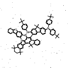 CC(C)(C)c1ccc(N2B3c4cc5oc6ccccc6c5cc4-n4c5cc6c(cc5c5c7c(c(c3c54)-c3cc4c(cc32)C(C)(C)c2cc(N(c3ccc(C(C)(C)C)cc3)c3ccc(C(C)(C)C)cc3)ccc2-4)-c2ccccc2C7(C)C)C(C)(C)CCC6(C)C)cc1